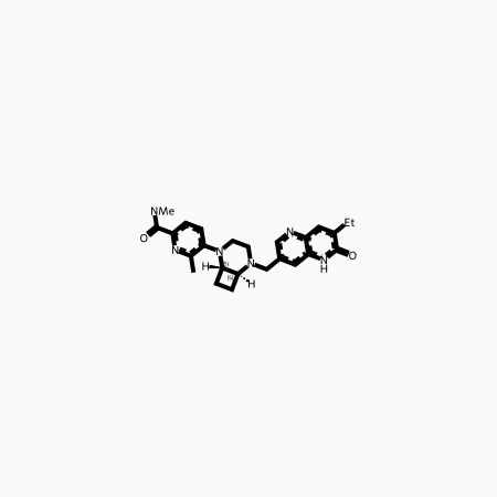 CCc1cc2ncc(CN3CCN(c4ccc(C(=O)NC)nc4C)[C@H]4CC[C@@H]43)cc2[nH]c1=O